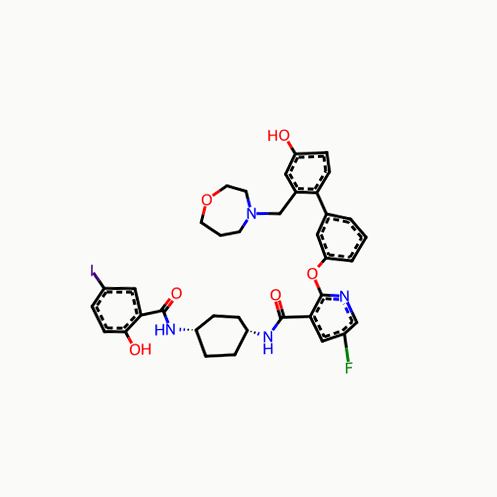 O=C(N[C@H]1CC[C@@H](NC(=O)c2cc(F)cnc2Oc2cccc(-c3ccc(O)cc3CN3CCCOCC3)c2)CC1)c1cc(I)ccc1O